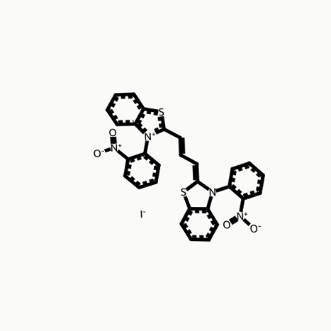 O=[N+]([O-])c1ccccc1N1C(=CC=Cc2sc3ccccc3[n+]2-c2ccccc2[N+](=O)[O-])Sc2ccccc21.[I-]